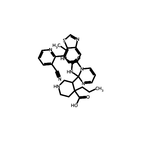 CCCC1(C(=O)O)CCNCC1C1(NC(=O)NCC)N=CC=CN1c1cc(-c2ncccc2C#N)c2scnc2c1